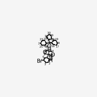 Fc1ccc(Br)cc1[C@@]12CO[C@H](COC(c3ccccc3)(c3ccccc3)c3ccccc3)[C@H]1CON2